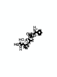 NC(C(=O)NC1C(=O)N2C(C(=O)O)=C(CSc3nnnn3CC(O)CO)CS[C@H]12)c1ccccc1